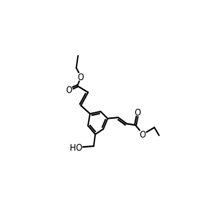 CCOC(=O)C=Cc1cc(C=CC(=O)OCC)cc(CO)c1